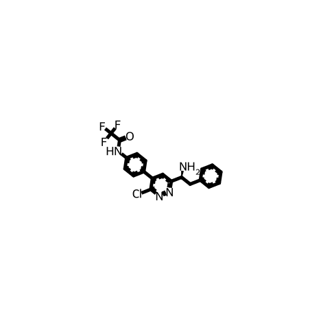 N[C@@H](Cc1ccccc1)c1cc(-c2ccc(NC(=O)C(F)(F)F)cc2)c(Cl)nn1